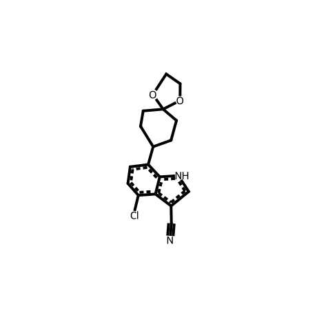 N#Cc1c[nH]c2c(C3CCC4(CC3)OCCO4)ccc(Cl)c12